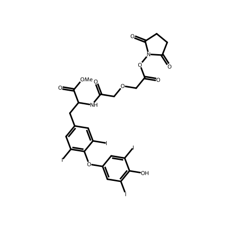 COC(=O)C(Cc1cc(I)c(Oc2cc(I)c(O)c(I)c2)c(I)c1)NC(=O)COCC(=O)ON1C(=O)CCC1=O